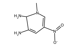 CN1C=C([N+](=O)[O-])C=C(N)C1N